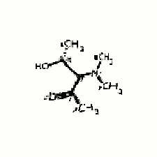 CC(=O)C([C@@H](C)O)N(C)C